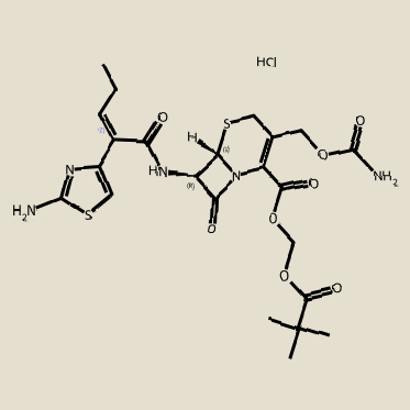 CC/C=C(\C(=O)N[C@@H]1C(=O)N2C(C(=O)OCOC(=O)C(C)(C)C)=C(COC(N)=O)CS[C@@H]12)c1csc(N)n1.Cl